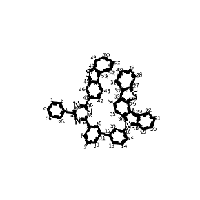 c1ccc(-c2nc(-c3cccc(-c4cccc(-n5c6ccccc6c6c7sc8ccccc8c7ccc65)c4)c3)nc(-c3ccc4c(c3)sc3ccccc34)n2)cc1